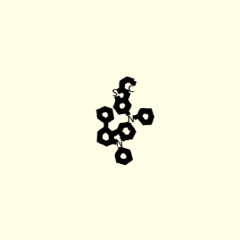 c1ccc(-c2cccc3c2c2cc(N(c4ccccc4)c4ccc5sc6ccccc6c5c4)ccc2n3-c2ccccc2)cc1